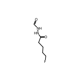 O=CNNC(=O)CCCCF